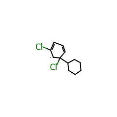 ClC1=CC=CC(Cl)(C2CCCCC2)[CH]1